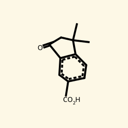 CC1(C)CC(=O)c2cc(C(=O)O)ccc21